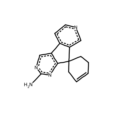 Nc1ncc2c(n1)C1(CC=CCC1)c1cnccc1-2